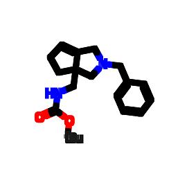 CC(C)(C)OC(=O)NCC12CCC=C1CN(Cc1ccccc1)C2